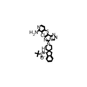 CC(C)(C)[S+]([O-])N[C@H]1c2ccccc2CC12CCN(c1ncc(Sc3ccnc(N)c3Cl)c3nncn13)CC2